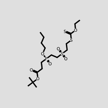 CCCCOP(=O)(CCC(=O)OC(C)(C)C)CCS(=O)(=O)CCSC(=S)OCC